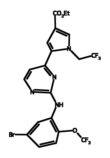 CCOC(=O)c1cc(-c2ccnc(Nc3cc(Br)ccc3OC(F)(F)F)n2)n(CC(F)(F)F)c1